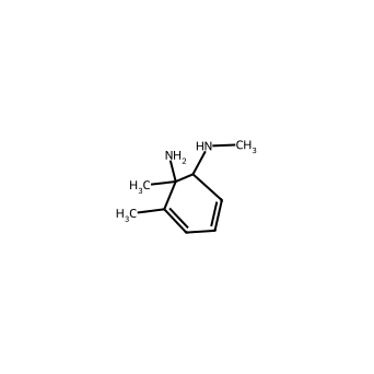 CNC1C=CC=C(C)C1(C)N